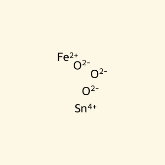 [Fe+2].[O-2].[O-2].[O-2].[Sn+4]